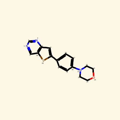 [c]1ncnc2cc(-c3ccc(N4CCOCC4)cc3)sc12